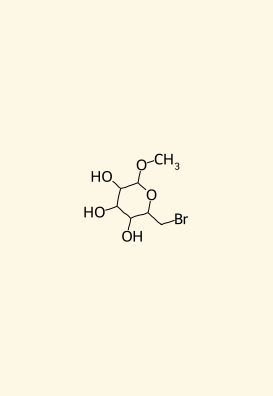 COC1OC(CBr)C(O)C(O)C1O